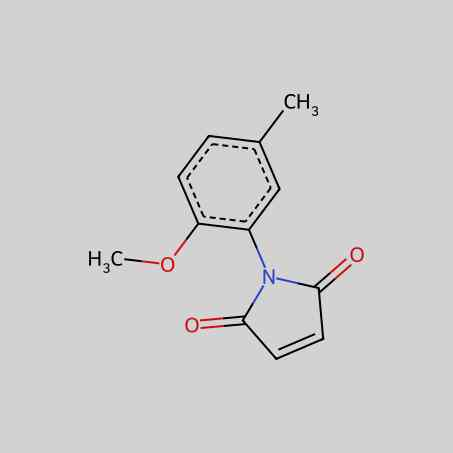 COc1ccc(C)cc1N1C(=O)C=CC1=O